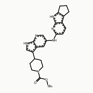 CC(C)(C)OC(=O)N1CCC(c2c[nH]c3ncc(Nc4ccc5c6c([nH]c5n4)CCC6)cc23)CC1